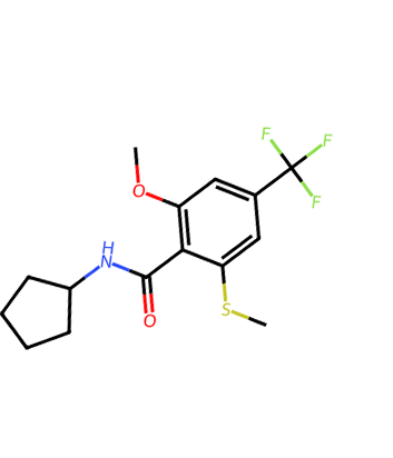 COc1cc(C(F)(F)F)cc(SC)c1C(=O)NC1CCCC1